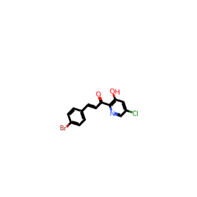 O=C(C=Cc1ccc(Br)cc1)c1ncc(Cl)cc1O